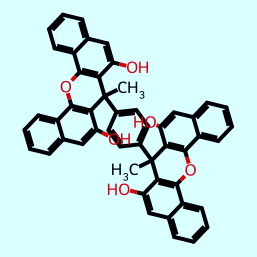 CC1(c2ccc(C3(C)c4c(O)cc5ccccc5c4Oc4c3c(O)cc3ccccc43)cc2)c2c(O)cc3ccccc3c2Oc2c1c(O)cc1ccccc21